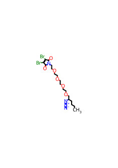 CCCCC(COCCOCCOCCOCCN1C(=O)C(Br)=C(Br)C1=O)N=[N+]=[N-]